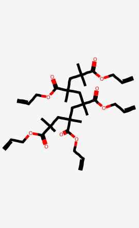 C=CCOC(=O)C(C)(C)CC(C)(CC(C)(CC(C)(CC(C)(C)C(=O)OCC=C)C(=O)OCC=C)C(=O)OCC=C)C(=O)OCC=C